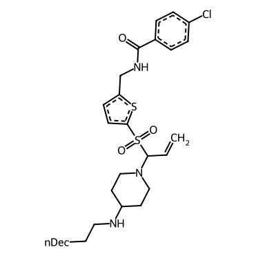 C=CC(N1CCC(NCCCCCCCCCCCC)CC1)S(=O)(=O)c1ccc(CNC(=O)c2ccc(Cl)cc2)s1